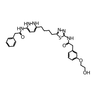 O=C(Cc1ccccc1)NC1=CC=C(CCCCc2nnc(NC(=O)Cc3cccc(OCCO)c3)s2)NN1